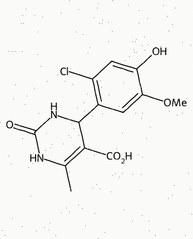 COc1cc(C2NC(=O)NC(C)=C2C(=O)O)c(Cl)cc1O